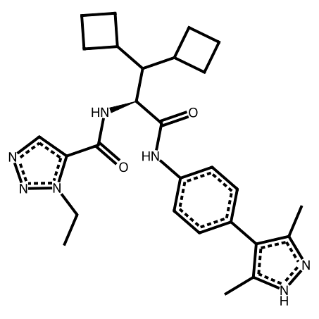 CCn1nncc1C(=O)N[C@H](C(=O)Nc1ccc(-c2c(C)n[nH]c2C)cc1)C(C1CCC1)C1CCC1